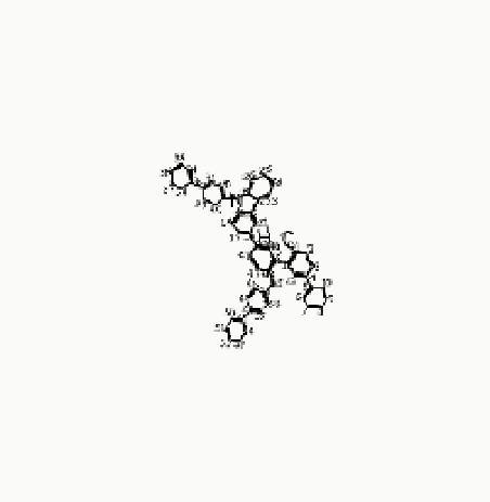 Cc1ccc(-c2ccccc2)cc1-c1cc(-c2ccc3c(c2)c2ccccc2n3C2=CC=C(C3=CC=CCC3)CC2)ccc1Cc1ccc(C2=CC=CCC2)cc1